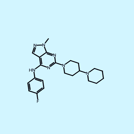 Cn1ncc2c(Nc3ccc(F)cc3)nc(N3CCC(N4CCCCC4)CC3)nc21